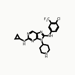 FC(F)(F)c1cc(Nc2nc3cnc(NC4CC4)nc3n2C2CCNCC2)ccc1Cl